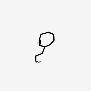 CNCCC1/C=C\CCCCC1